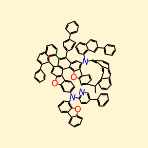 CC1c2ccc3c(c2)oc2c3c(cc3c(-c4ccc(-c5ccccc5)cc4)c(-c4ccccc4)c4c(-c5ccccc5-c5ccccc5)cc5oc6cc(N(c7ccc(-c8ccccc8)cn7)c7cccc8c7oc7ccccc78)ccc6c5c4c32)N(c2cccc3ccc(-c4ccccc4)cc23)c2ccc3cc4cccc1c4cc3c2